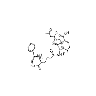 CC(=O)CC(=O)OC[N+]12C(=O)C(NC(=O)CCCC(NC(=O)c3ccccc3)C(=O)O)[C@@H]1SCC=C2C(=O)O